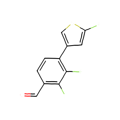 O=Cc1ccc(-c2csc(F)c2)c(F)c1F